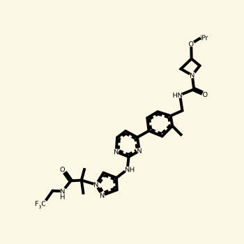 Cc1cc(-c2ccnc(Nc3cnn(C(C)(C)C(=O)NCC(F)(F)F)c3)n2)ccc1CNC(=O)N1CC(OC(C)C)C1